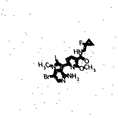 COc1nc(-c2c(I)n(C)c3c(Br)cnc(N)c23)ccc1C(=O)NCC1(F)CC1